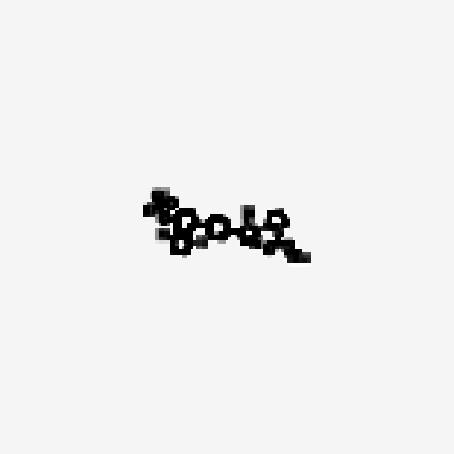 CC(C)(C)OC(=O)N1CCC[C@H]1c1ncc(-c2ccc(-c3ccc(OS(=O)(=O)C(F)(F)F)c4c3[C@@H]3CC[C@H]4C3)cc2)[nH]1